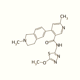 COc1nnc(NC(=O)c2cnc(C)cc2-c2ccc3c(c2)CCN(C)C3)s1